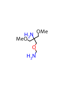 COCC(N)(COC)COCN